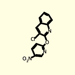 O=[N+]([O-])c1ccc(Oc2nc3ccccc3cc2Cl)nc1